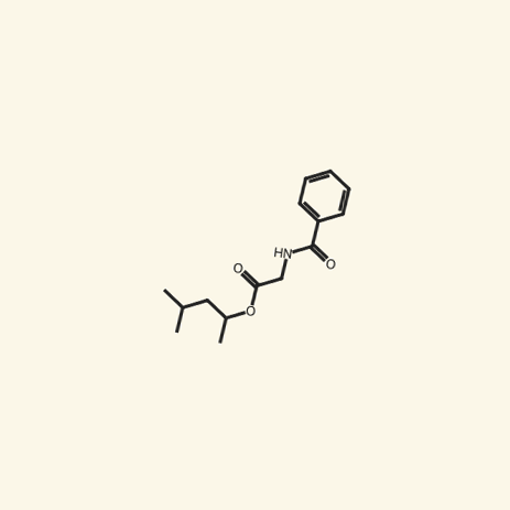 CC(C)CC(C)OC(=O)CNC(=O)c1ccccc1